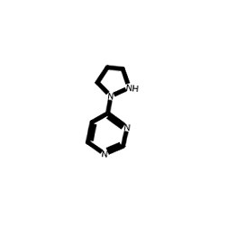 [c]1nccc(N2CCCN2)n1